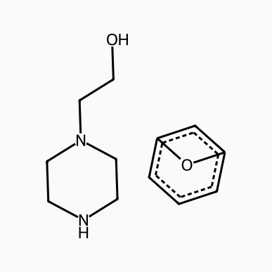 OCCN1CCNCC1.c1cc2cc(c1)O2